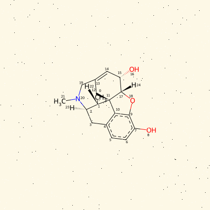 C[C@H]1[C@H]2Cc3ccc(O)c4c3[C@]13CC(=C[C@H](O)[C@@H]3O4)CN2C